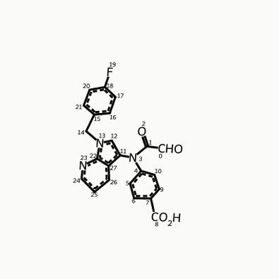 O=CC(=O)N(c1ccc(C(=O)O)cc1)c1cn(Cc2ccc(F)cc2)c2ncccc12